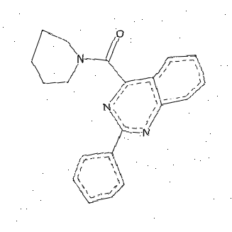 O=C(c1nc(-c2ccccc2)nc2ccccc12)N1CCCCC1